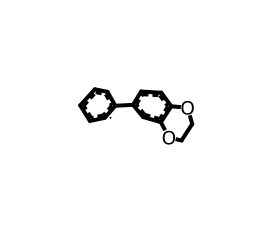 [c]1ccccc1-c1ccc2c(c1)OCCO2